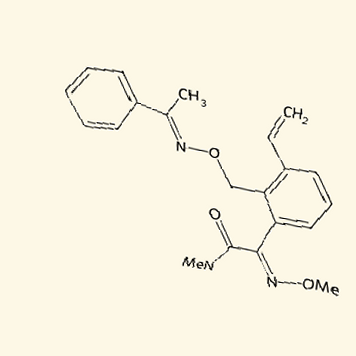 C=Cc1cccc(/C(=N\OC)C(=O)NC)c1CO/N=C(\C)c1ccccc1